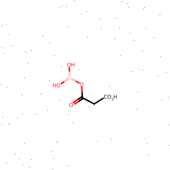 O=C(O)CC(=O)OB(O)O